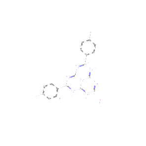 Cc1ccc(C2=NC3=NC(OCC(F)(F)F)=NC4=NC(c5ccc(C)cc5)=NC(=N2)N34)cc1